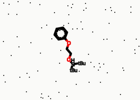 CC(C)(C)[SiH](OCCOc1ccccc1)C(C)(C)C